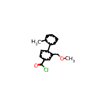 COCc1cc(C(=O)Cl)ccc1-c1ccccc1C